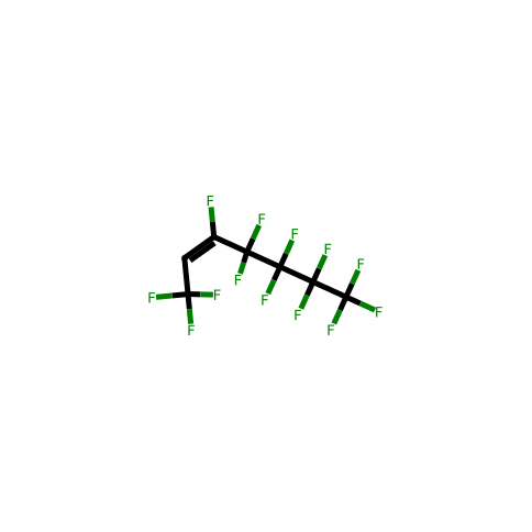 F/C(=C/C(F)(F)F)C(F)(F)C(F)(F)C(F)(F)C(F)(F)F